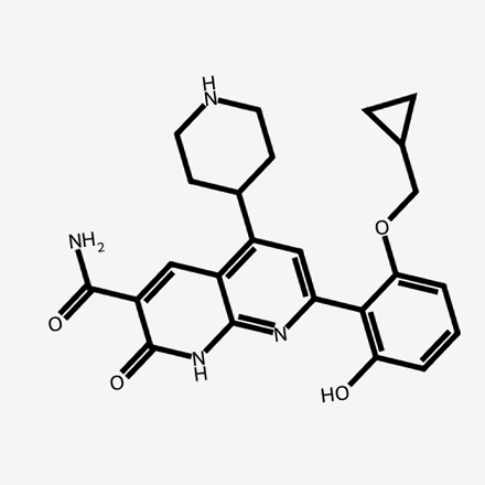 NC(=O)c1cc2c(C3CCNCC3)cc(-c3c(O)cccc3OCC3CC3)nc2[nH]c1=O